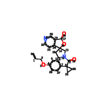 C=CCOc1ccc(C2(C(=O)N3CCC4(C3)OC(=O)c3cnccc34)CC2)cc1